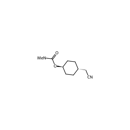 CNC(=O)O[C@H]1CC[C@H](CC#N)CC1